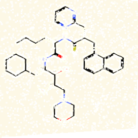 CCCC[C@H](NC(=S)[C@H](Cc1ncccn1)Cc1cccc2ccccc12)C(=O)N[C@@H](CC1CCCCC1)[C@@H](O)[C@@H](O)CN1CCOCC1